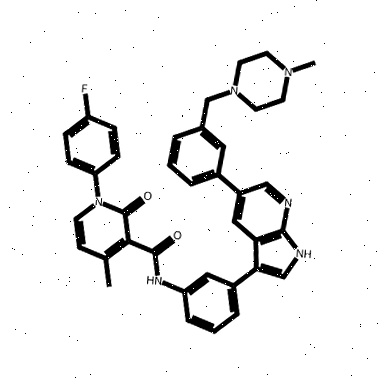 Cc1ccn(-c2ccc(F)cc2)c(=O)c1C(=O)Nc1cccc(-c2c[nH]c3ncc(-c4cccc(CN5CCN(C)CC5)c4)cc23)c1